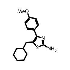 COc1ccc(-c2nc(N)sc2CC2CCCCC2)cc1